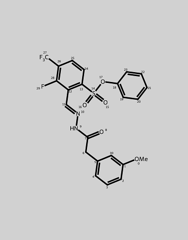 COc1cccc(CC(=O)NN=Cc2c(S(=O)(=O)Oc3ccccc3)ccc(C(F)(F)F)c2F)c1